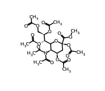 COC(=O)[C@]1(OC(C)=O)C[C@@H](OC(C)=O)[C@@H](N(C(C)=O)C(C)=O)C([C@H](OC(C)=O)[C@@H](COC(C)=O)OC(C)=O)O1